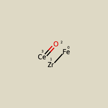 [Fe][Zr].[O]=[Ce]